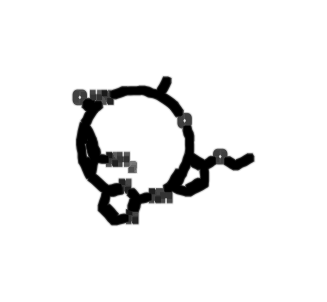 CCOc1ccc2cc1COCC(C)CCNC(=O)c1ccc(c(N)c1)-c1ccnc(n1)N2